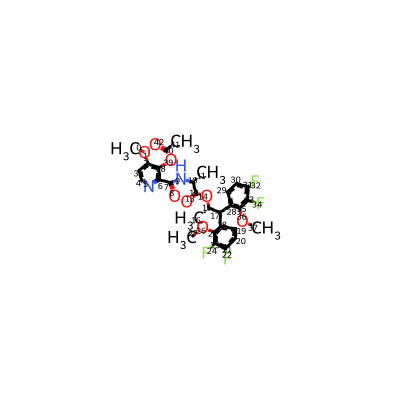 COc1ccnc(C(=O)N[C@@H](C)C(=O)O[C@@H](C)C(c2ccc(F)c(F)c2OC)c2ccc(F)c(F)c2OC)c1OC(C)=O